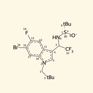 CC(C)(C)Cn1cc(C(N[S@@+]([O-])C(C)(C)C)C(F)(F)F)c2cc(F)c(Br)cc21